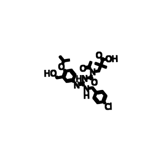 CC(=O)N(CC(C)(C)C(=O)O)C(=O)N/C(=N\c1ccc(OC(C)C)c(CO)c1)NCc1ccc(Cl)cc1